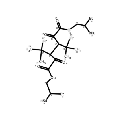 CCCCC(CC)COC(=O)C(=O)C(C(C(=O)C(=O)OCC(CC)CCCC)C(C)(C)C(C)C)C(C)(C)C(C)C